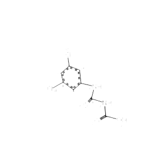 O=C(O)NC(=O)Nc1cc(Cl)cc(Cl)c1